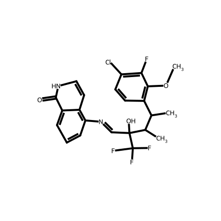 COc1c(C(C)C(C)C(O)(C=Nc2cccc3c(=O)[nH]ccc23)C(F)(F)F)ccc(Cl)c1F